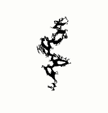 CN(C)CCOc1cc(F)cc(-c2cccc3[nH]c(-c4n[nH]c5cnc(-c6cncc(N7CC(N)C7)n6)cc45)cc23)c1